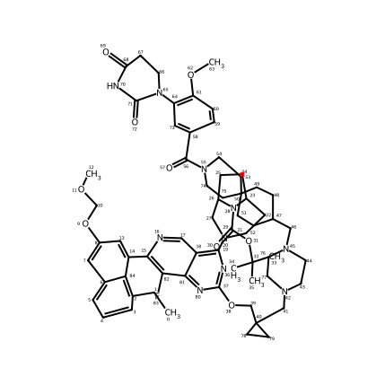 CCc1cccc2cc(OCOC)cc(-c3ncc4c(N5CCC6CCC(C5)N6C(=O)OC(C)(C)C)nc(OCC5(CN6CCN(CC7CCC8(CC7)CCN(C(=O)c7ccc(OC)c(N9CCC(=O)NC9=O)c7)CC8)CC6)CC5)nc4c3F)c12